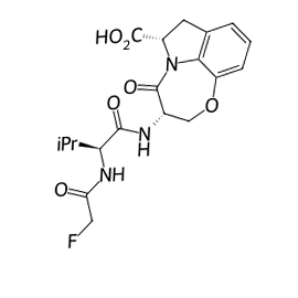 CC(C)[C@H](NC(=O)CF)C(=O)N[C@H]1COc2cccc3c2N(C1=O)[C@H](C(=O)O)C3